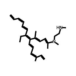 C=C\C=C/C=C/C(CC)=C(/C=C/C=C(/C)C=C)C(\C)=C\C=C(/C)N(C)CCNC